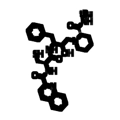 CC(C)(C)NC(=O)[C@@H]1CCCCN1CC(O)C(Cc1ccccc1)NC(=O)[C@H](CS)NC(=O)c1ccc2ccccc2n1